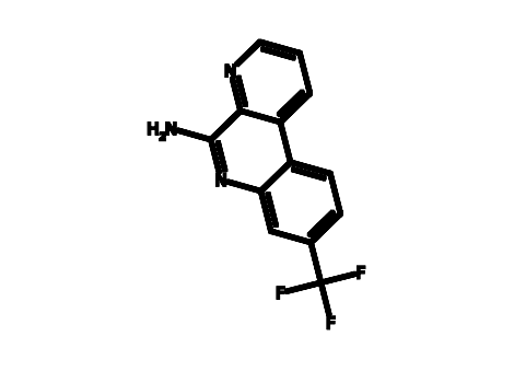 Nc1nc2cc(C(F)(F)F)ccc2c2cccnc12